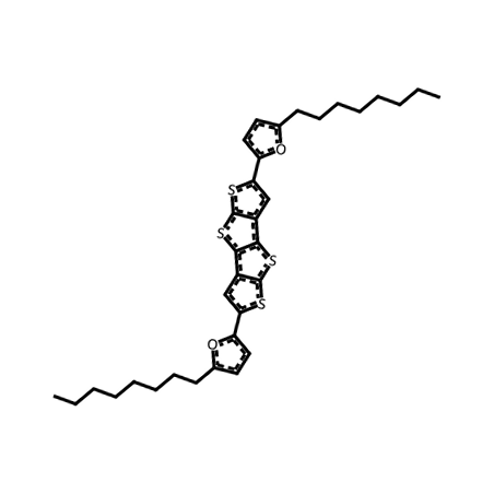 CCCCCCCCc1ccc(-c2cc3c(s2)sc2c4cc(-c5ccc(CCCCCCCC)o5)sc4sc32)o1